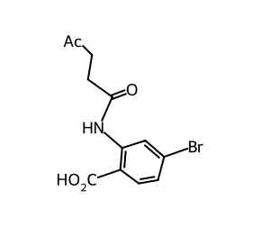 CC(=O)CCC(=O)Nc1cc(Br)ccc1C(=O)O